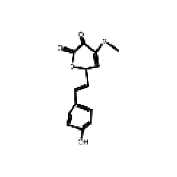 COC1=CC(C=Cc2ccc(O)cc2)OC(=O)C1=O